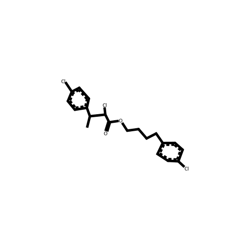 CC(c1ccc(Cl)cc1)C(Cl)C(=O)OCCCCc1ccc(Cl)cc1